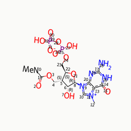 CNC(=O)OC[C@H]1[C@@H](O)[C@H](n2c[n+](C)c3c(=O)[nH]c(N)nc32)O[C@@H]1COP(=O)(O)OP(=O)([O-])O